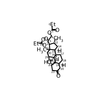 CCC(=O)OCC(=O)[C@@]1(OC(=O)CC)[C@@H](C)C[C@H]2[C@@H]3CC[C@H]4CC(=O)CC[C@]4(C)[C@]34OC4C[C@@]21C